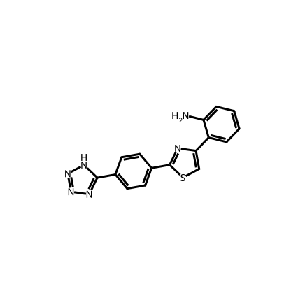 Nc1ccccc1-c1csc(-c2ccc(-c3nnn[nH]3)cc2)n1